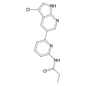 CCC(=O)Nc1cccc(-c2cnc3[nH]cc(Cl)c3c2)n1